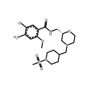 COc1cc(N)c(Cl)cc1C(=O)NC[C@H]1CN(CC2CCN(S(C)(=O)=O)CC2)CCO1